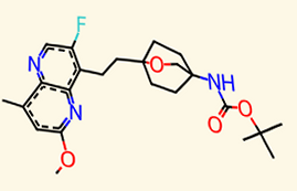 COc1cc(C)c2ncc(F)c(CCC34CCC(NC(=O)OC(C)(C)C)(CC3)CO4)c2n1